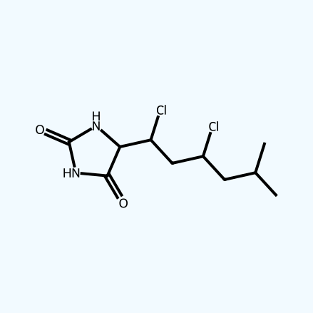 CC(C)CC(Cl)CC(Cl)C1NC(=O)NC1=O